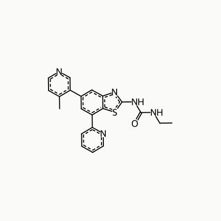 CCNC(=O)Nc1nc2cc(-c3cnccc3C)cc(-c3ccccn3)c2s1